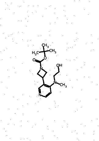 CN(CCO)c1ccncc1C1CN(C(=O)OC(C)(C)C)C1